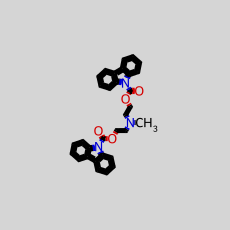 CN(CCOC(=O)n1c2ccccc2c2ccccc21)CCOC(=O)n1c2ccccc2c2ccccc21